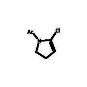 CC(=O)N1CCC=C1Cl